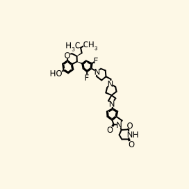 CC(C)C[C@@H]1COc2cc(O)ccc2[C@@H]1c1cc(F)c(N2CCC(CN3CCC4(CC3)CN(c3ccc5c(c3)CN(C3CCC(=O)NC3=O)C5=O)C4)CC2)c(F)c1